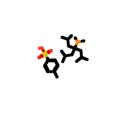 CC(C)CC(CC(C)C)(CC(C)C)P(C)C.Cc1ccc(S(=O)(=O)O)cc1